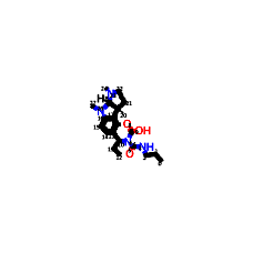 CCCNC(=O)N(C(=O)O)C(CC)c1ccc2c(c1)[C@]1(C)CCN(C)[C@@H]1N2C